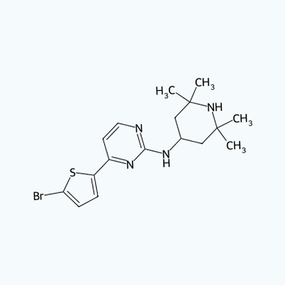 CC1(C)CC(Nc2nccc(-c3ccc(Br)s3)n2)CC(C)(C)N1